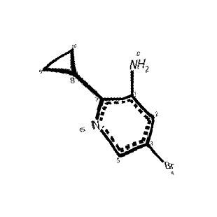 Nc1cc(Br)cnc1C1CC1